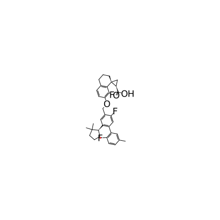 Cc1ccc(F)c(-c2cc(F)c(COc3ccc4c(c3F)[C@]3(CCC4)C[C@H]3C(=O)O)cc2[C@H]2CCCC2(C)C)c1